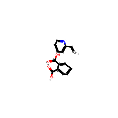 C=Cc1ccccn1.O=C(O)c1ccccc1C(=O)O